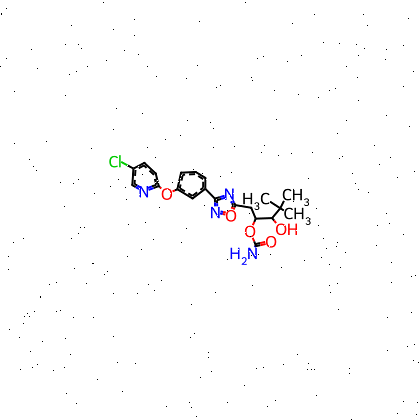 CC(C)(C)C(O)C(Cc1nc(-c2cccc(Oc3ccc(Cl)cn3)c2)no1)OC(N)=O